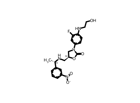 C[C@H](NC[C@H]1CN(c2ccc(NCCO)c(F)c2)C(=O)O1)c1cccc([N+](=O)[O-])c1